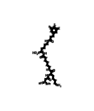 CCCN(CCC)CC(=O)NC(CCCCN)C(=O)NCCCCCC(=O)NC(CCCCNC(=O)CCc1cc(F)c(F)c(F)c1)C(=O)O